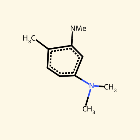 CNc1cc(N(C)C)ccc1C